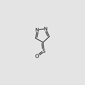 O=S=C1C=NN=C1